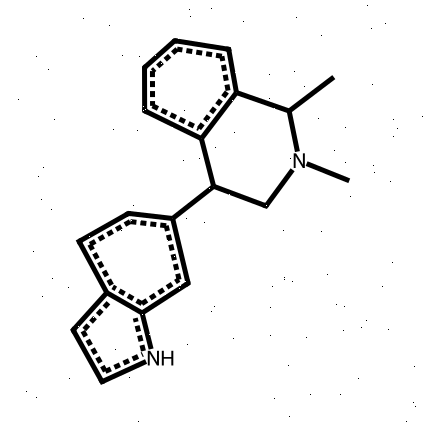 CC1c2ccccc2C(c2ccc3cc[nH]c3c2)CN1C